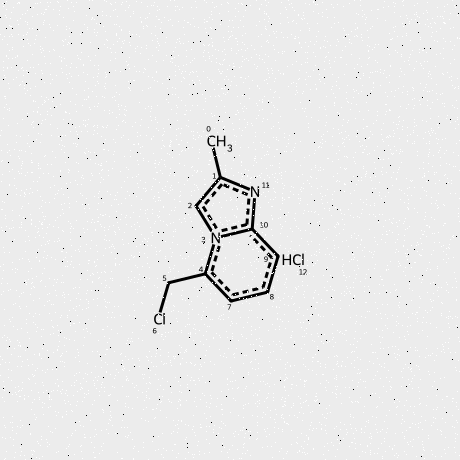 Cc1cn2c(CCl)cccc2n1.Cl